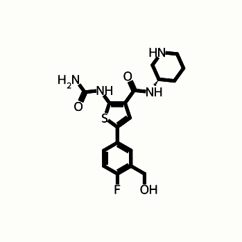 NC(=O)Nc1sc(-c2ccc(F)c(CO)c2)cc1C(=O)N[C@H]1CCCNC1